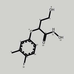 Cc1cc(OC(CCO)C(=O)NO)ccc1F